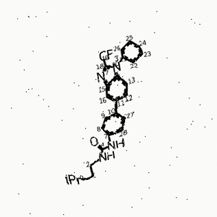 CC(C)CCNC(=O)Nc1ccc(-c2ccc3c(c2)nc(C(F)(F)F)n3-c2ccccc2)cc1